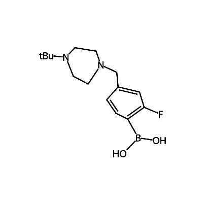 CC(C)(C)N1CCN(Cc2ccc(B(O)O)c(F)c2)CC1